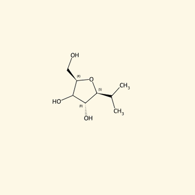 CC(C)[C@@H]1O[C@H](CO)C(O)[C@H]1O